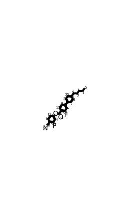 CCCCCc1ccc(-c2ccc(C(=O)Oc3ccc(C#N)c(F)c3)c(F)c2)cc1